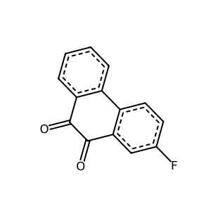 O=C1C(=O)c2cc(F)ccc2-c2ccccc21